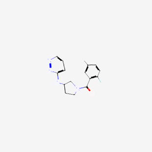 O=Cc1ccc(F)c(C(=O)N2CCC(Nc3cccnn3)C2)c1